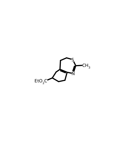 CCOC(=O)C1CCC2=C(CCSC(C)=N2)C1